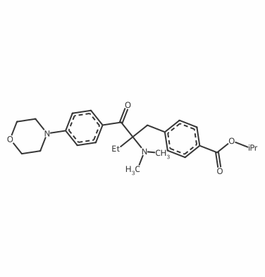 CCC(Cc1ccc(C(=O)OC(C)C)cc1)(C(=O)c1ccc(N2CCOCC2)cc1)N(C)C